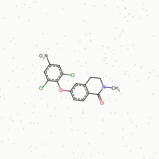 CN1CCc2cc(Oc3c(Cl)cc([N+](=O)[O-])cc3Cl)ccc2C1=O